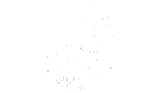 COc1ccccc1C1C(C(=O)OCc2cccc3ccccc23)[C@@H](c2ccccc2OC)[C@@H]1C(=O)O